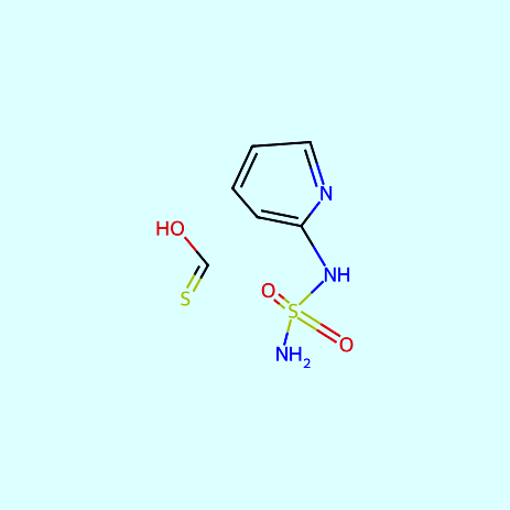 NS(=O)(=O)Nc1ccccn1.OC=S